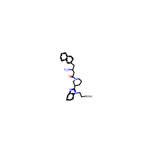 CC(=O)NCCn1c(C2CCCN(C(=O)CC(N)Cc3ccc4ccccc4c3)C2)nc2ccccc21